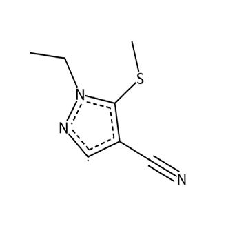 CCn1n[c]c(C#N)c1SC